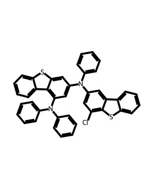 Clc1cc(N(c2ccccc2)c2cc(N(c3ccccc3)c3ccccc3)c3c(c2)sc2ccccc23)cc2c1sc1ccccc12